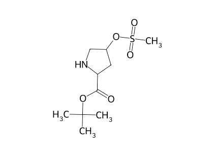 CC(C)(C)OC(=O)C1CC(OS(C)(=O)=O)CN1